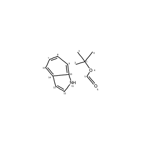 CC(C)(C)OC=O.c1ccc2[nH]ccc2c1